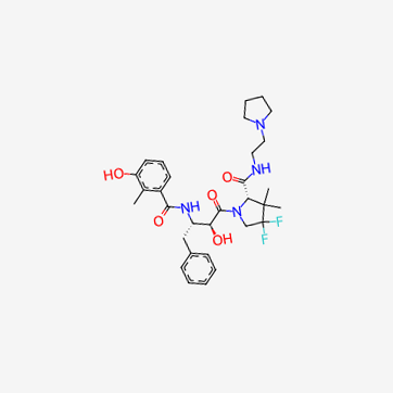 Cc1c(O)cccc1C(=O)N[C@@H](Cc1ccccc1)[C@H](O)C(=O)N1CC(F)(F)C(C)(C)[C@H]1C(=O)NCCN1CCCC1